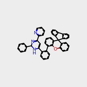 C1=C(c2ccccc2-c2cccc3c2Oc2ccccc2C32c3ccccc3-c3ccccc32)NC(c2ccccc2)N=C1c1ccccn1